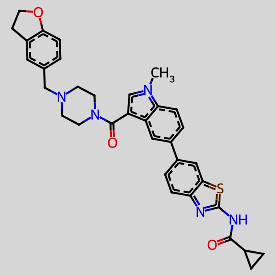 Cn1cc(C(=O)N2CCN(Cc3ccc4c(c3)CCO4)CC2)c2cc(-c3ccc4nc(NC(=O)C5CC5)sc4c3)ccc21